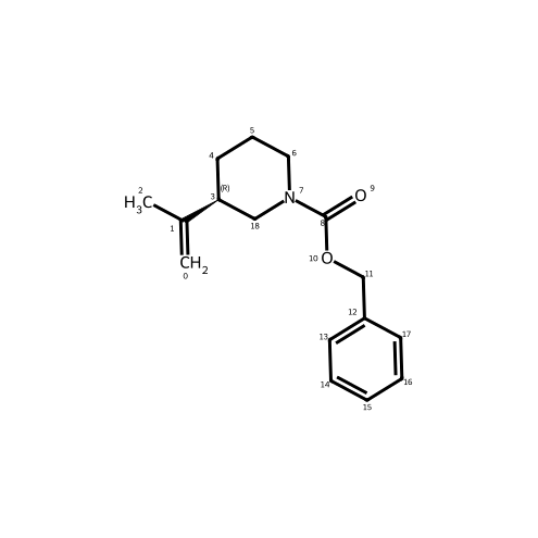 C=C(C)[C@H]1CCCN(C(=O)OCc2ccccc2)C1